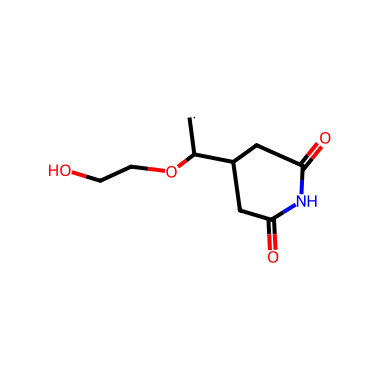 [CH2]C(OCCO)C1CC(=O)NC(=O)C1